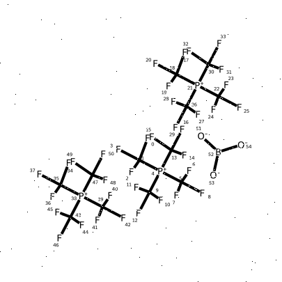 FC(F)(F)[P+](C(F)(F)F)(C(F)(F)F)C(F)(F)F.FC(F)(F)[P+](C(F)(F)F)(C(F)(F)F)C(F)(F)F.FC(F)(F)[P+](C(F)(F)F)(C(F)(F)F)C(F)(F)F.[O-]B([O-])[O-]